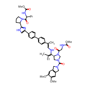 CC/C(C)=C(/N/C=C(\C)c1ccc(-c2ccc(-c3c[nH]c(C4CCCN4C(=O)C(NC(=O)OC)C(C)C)n3)cc2)cc1)[C@@H]1CN(C(=O)N2Cc3cc(OC)c(OC)cc3C2)CN1C(=O)CNC(=O)OC